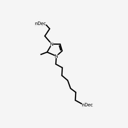 CCCCCCCCCCCCCCCCCN1C=CN(CCCCCCCCCCCC)C1C